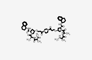 CN[C@@H](C)C(=O)N[C@@H](C)C(=O)N1C[C@@H](OCCC(=O)N2CCN(C(=O)CCO[C@H]3C[C@@H](C(=O)N[C@@H]4CCCc5ccccc54)N(C(=O)[C@H](C)NC(=O)[C@H](C)NC)C3)CC2)C[C@H]1C(=O)N[C@@H]1CCCc2ccccc21